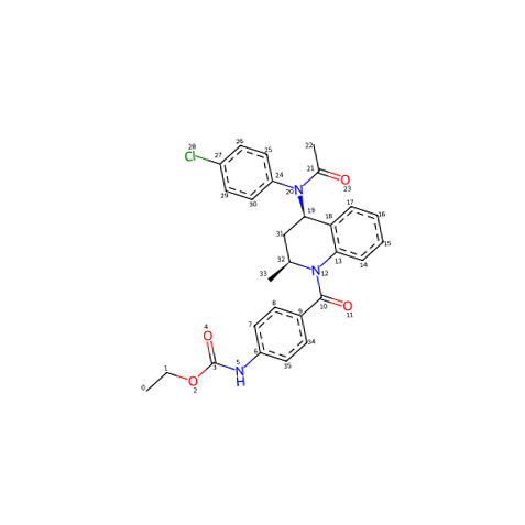 CCOC(=O)Nc1ccc(C(=O)N2c3ccccc3[C@H](N(C(C)=O)c3ccc(Cl)cc3)C[C@@H]2C)cc1